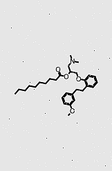 CCCCCCCCCC(=O)OC(COc1ccccc1CCc1cccc(OC)c1)CN(C)C